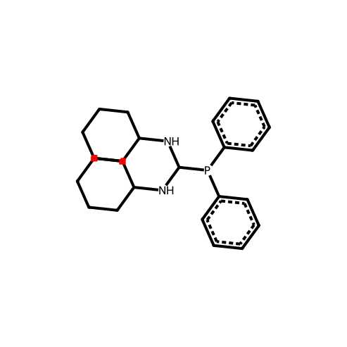 c1ccc(P(c2ccccc2)C(NC2CCCCC2)NC2CCCCC2)cc1